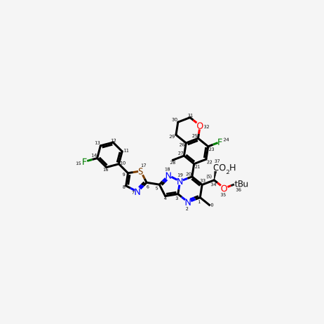 Cc1nc2cc(-c3ncc(-c4cccc(F)c4)s3)nn2c(-c2cc(F)c3c(c2C)CCCO3)c1[C@H](OC(C)(C)C)C(=O)O